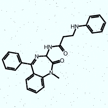 CN1C(=O)C(NC(=O)CCNc2ccccc2)N=C(c2ccccc2)c2ccccc21